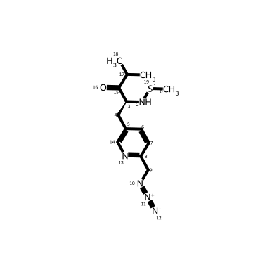 CSN[C@@H](Cc1ccc(CN=[N+]=[N-])nc1)C(=O)C(C)C